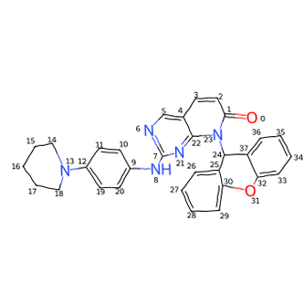 O=c1ccc2cnc(Nc3ccc(N4CCCCC4)cc3)nc2n1C1c2ccccc2Oc2ccccc21